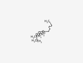 CCCCC/C=C\C/C=C\C/C=C\C/C=C\CCCC(=O)OC1CC[C@@]2(C)C(=CCC3C2CC[C@@]2(C)C3CC[C@@H]2[C@H](C)CCCC(C)C)C1